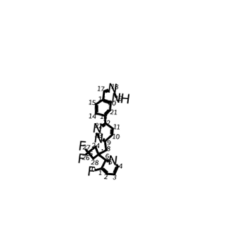 Fc1cccnc1C1([CH]c2ccc(-c3ccc4cn[nH]c4c3)nn2)CC(F)(F)C1